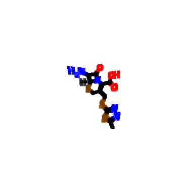 Cc1nnc(SCC2=C(C(=O)O)N3C(=O)C(N)[C@@H]3SC2)s1